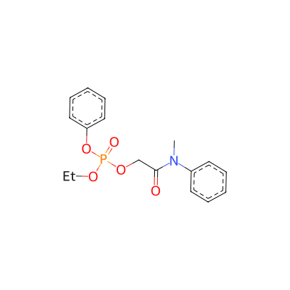 CCOP(=O)(OCC(=O)N(C)c1ccccc1)Oc1ccccc1